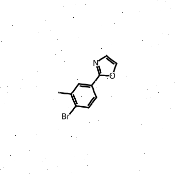 Cc1cc(-c2ncco2)ccc1Br